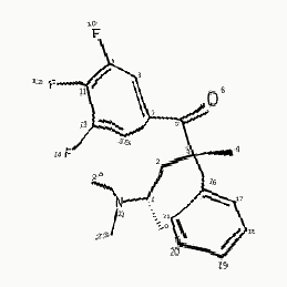 C[C@@H](C[C@](C)(C(=O)c1cc(F)c(F)c(F)c1)c1ccccc1)N(C)C